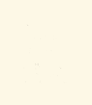 Bc1cc(C(B)(B)C(C)C)cc(-c2cccc3oc4c(C#N)cccc4c23)n1